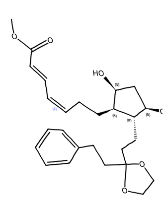 COC(=O)C=C/C=C\CC[C@@H]1[C@@H](CCC2(CCc3ccccc3)OCCO2)[C@H](O)C[C@@H]1O